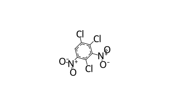 O=[N+]([O-])c1cc(Cl)c(Cl)c([N+](=O)[O-])c1Cl